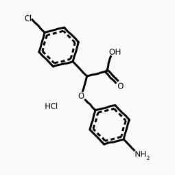 Cl.Nc1ccc(OC(C(=O)O)c2ccc(Cl)cc2)cc1